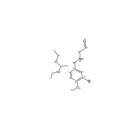 CCOC(C)OCC.COc1ccc(CNCC=O)cc1Br